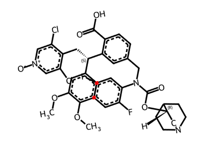 COc1ccc([C@H](Cc2c(Cl)c[n+]([O-])cc2Cl)c2cc(CN(C(=O)O[C@H]3CN4CCC3CC4)c3cc(F)ccc3F)ccc2C(=O)O)cc1OC